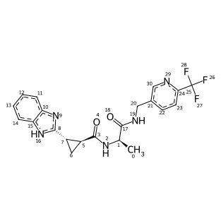 C[C@@H](NC(=O)[C@H]1C[C@@H]1c1nc2ccccc2[nH]1)C(=O)NCc1ccc(C(F)(F)F)nc1